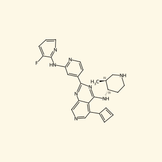 C[C@H]1CNCC[C@@H]1Nc1nc(-c2ccnc(Nc3ncccc3F)c2)nc2cncc(C3=CC=C3)c12